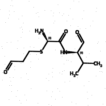 CC(C)[C@H](C=O)NC(=O)[C@H](N)SCCC=O